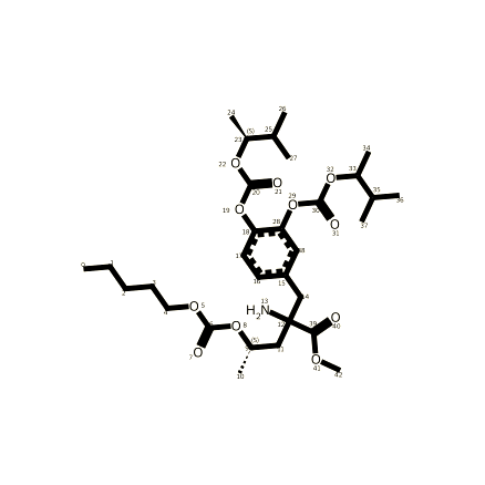 CCCCCOC(=O)O[C@@H](C)CC(N)(Cc1ccc(OC(=O)O[C@@H](C)C(C)C)c(OC(=O)OC(C)C(C)C)c1)C(=O)OC